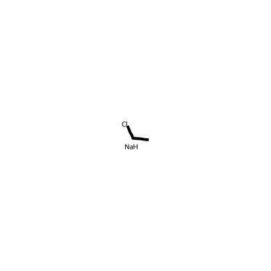 CCCl.[NaH]